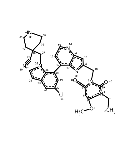 CCn1c(OC)cc(=O)n(Cc2cc3nccc(-c4cc(Cl)cc5ccn(CC6(C#N)CCNCC6)c45)c3s2)c1=O